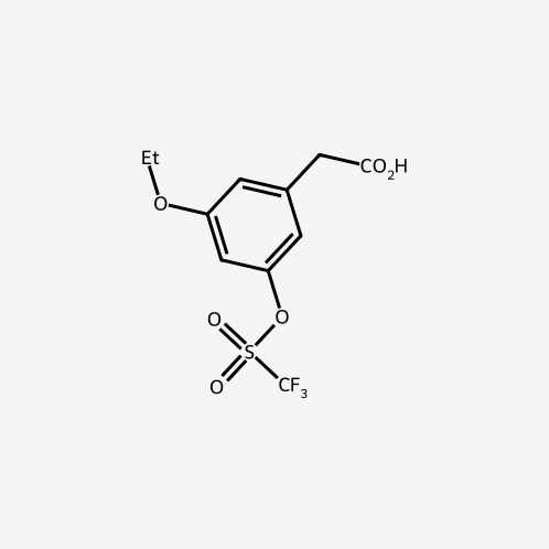 CCOc1cc(CC(=O)O)cc(OS(=O)(=O)C(F)(F)F)c1